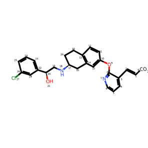 O=C(O)C=Cc1cccnc1Oc1ccc2c(c1)C[C@@H](NC[C@@H](O)c1cccc(Cl)c1)CC2